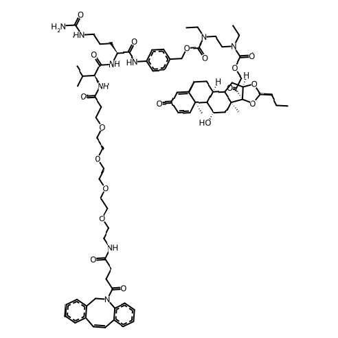 CCCC1O[C@@H]2CC3[C@@H]4CCC5=CC(=O)C=C[C@]5(C)C4[C@@H](O)C[C@]3(C)[C@]2(C(=O)COC(=O)N(CC)CCN(CC)C(=O)OCc2ccc(NC(=O)[C@H](CCCNC(N)=O)NC(=O)[C@@H](NC(=O)CCOCCOCCOCCOCCNC(=O)CCC(=O)N3Cc4ccccc4/C=C\c4ccccc43)C(C)C)cc2)O1